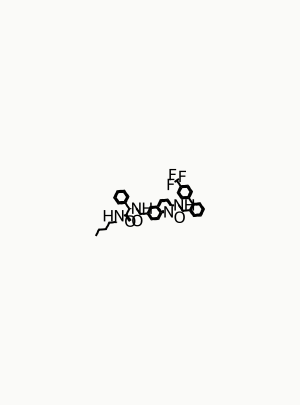 CCCCCNC(=O)[C@@H](NC(=O)c1ccc2nc(NC(=O)c3ccccc3-c3ccc(C(F)(F)F)cc3)ccc2c1)c1ccccc1